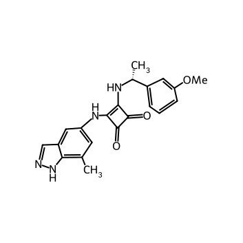 COc1cccc([C@@H](C)Nc2c(Nc3cc(C)c4[nH]ncc4c3)c(=O)c2=O)c1